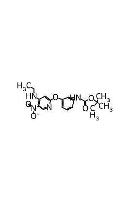 CCNc1cc(Oc2cccc(NC(=O)OC(C)(C)C)c2)ncc1[N+](=O)[O-]